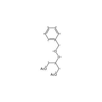 CC(=O)OCC(COC(C)=O)OOCc1ccccc1